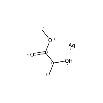 COC(=O)C(C)O.[Ag]